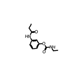 CCNC(=O)Oc1cccc(NC(=O)CC)c1